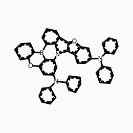 c1ccc(N(c2ccccc2)c2cc3c4c(c2)-n2c5c(cccc5c5oc6cc(N(c7ccccc7)c7ccccc7)ccc6c52)B4c2ccccc2O3)cc1